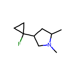 CC1CC(C2(F)CC2)CN1C